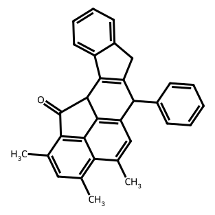 Cc1cc(C)c2c(C)cc3c4c2c1C(=O)C4C1=C(Cc2ccccc21)C3c1ccccc1